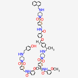 COc1cccc(C(=O)NCc2ccc(S(=O)(=O)N3CCC(NCC(C)c4ccccc4)CC3)s2)c1.COc1cccc(C(=O)NCc2ccc(S(=O)(=O)N3CCC(NCCc4ccc(O)cc4)CC3)s2)c1.COc1cccc(C(=O)NCc2ccc(S(=O)(=O)N3CCC(NCc4cccc5ccccc45)CC3)s2)c1